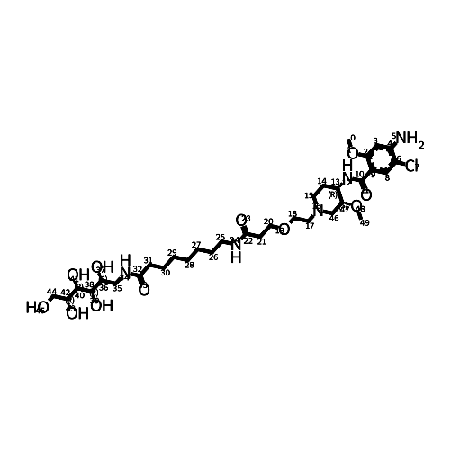 COc1cc(N)c(Cl)cc1C(=O)N[C@@H]1CCN(CCOCCC(=O)NCCCCCCCC(=O)NC[C@H](O)[C@@H](O)[C@H](O)[C@H](O)CO)C[C@@H]1OC